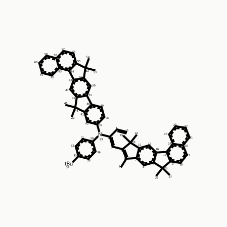 C=C/C(=C\C1=C(C)c2cc3c(cc2C1(C)C)-c1c(ccc2ccccc12)C3(C)C)N(c1ccc(C(C)(C)C)cc1)c1ccc2c(c1)C(C)(C)c1cc3c(cc1-2)C(C)(C)c1ccc2ccccc2c1-3